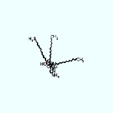 CCCCCCCCCCCCCCCC(=O)C(O)[C@H]1O[C@@H](n2ccc(N)nc2=O)[C@@](O)(C(=O)CCCCCCCCCCCCCCC)[C@@]1(O)C(=O)CCCCCCCCCCCCCCC